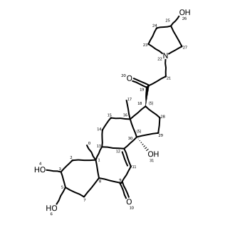 CC12CC(O)C(O)CC1C(=O)C=C1C2CCC2(C)[C@@H](C(=O)CN3CCC(O)C3)CC[C@@]12O